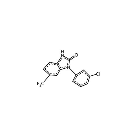 O=c1[nH]c2ccc(C(F)(F)F)cc2n1-c1cccc(Cl)c1